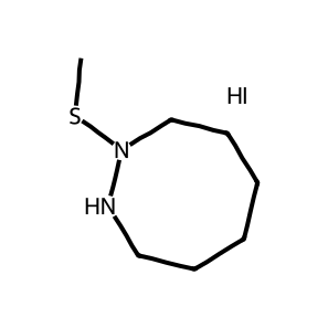 CSN1CCCCCCN1.I